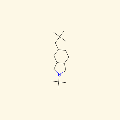 CC(C)(C)CC1CCC2CN(C(C)(C)C)CC2C1